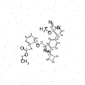 CCOC(=O)Cc1ccccc1OCc1nn(C2CCC2)c2ccc(-c3ccnc(C#N)c3OC)cc12